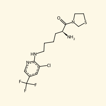 N[C@@H](CCCCNc1ncc(C(F)(F)F)cc1Cl)C(=O)N1CCSC1